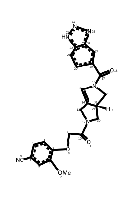 COc1cc(C#N)ccc1OCC(=O)N1CC2=CN(C(=O)c3ccc4[nH]nnc4c3)C[C@@H]2C1